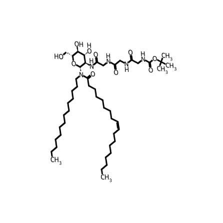 CCCCCCCC/C=C\CCCCCCCC(=O)N(CCCCCCCCCCCCCC)[C@@H]1O[C@H](CO)[C@@H](O)[C@H](O)[C@H]1NC(=O)CNC(=O)CNC(=O)CNC(=O)OC(C)(C)C